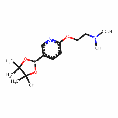 CN(CCOc1ccc(B2OC(C)(C)C(C)(C)O2)cn1)C(=O)O